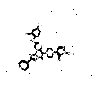 CCc1c(N2CCN(c3cnn(C)c3O)CC2)c(=O)n2nc(C3=CCOCC3)nc2n1CC(=O)Nc1ccc(C(F)(F)F)cc1Cl